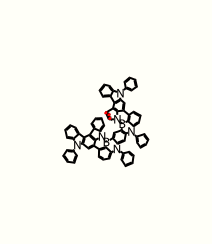 c1ccc(N2c3cc4c(cc3B3c5c(cccc52)-c2cc5c(c6ccccc6n5-c5ccccc5)c5c6ccccc6n3c25)B2c3c(cccc3N4c3ccccc3)-c3cc4c(c5ccccc5n4-c4ccccc4)c4c5ccccc5n2c34)cc1